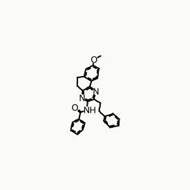 COc1ccc2c(c1)CCc1nc(NC(=O)c3ccccc3)c(CCc3ccccc3)nc1-2